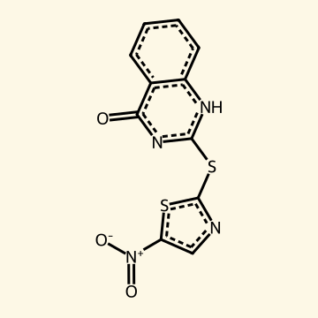 O=c1nc(Sc2ncc([N+](=O)[O-])s2)[nH]c2ccccc12